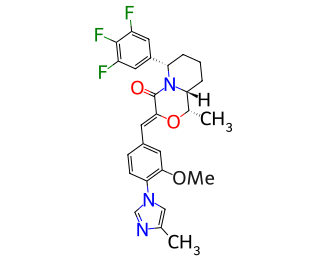 COc1cc(C=C2O[C@@H](C)[C@H]3CCC[C@@H](c4cc(F)c(F)c(F)c4)N3C2=O)ccc1-n1cnc(C)c1